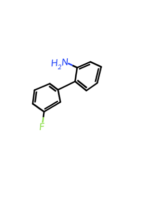 Nc1ccccc1-c1cccc(F)c1